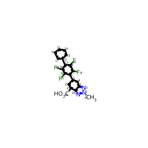 Cn1nc2cc(-c3c(F)c(F)c(-c4ccccc4)c(F)c3F)cc(C(=O)O)c2n1